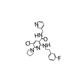 O=C(NCc1cccnc1)c1cc(Cl)c(N2CCCC2)nc1NCCc1cccc(F)c1